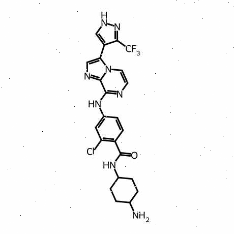 NC1CCC(NC(=O)c2ccc(Nc3nccn4c(-c5c[nH]nc5C(F)(F)F)cnc34)cc2Cl)CC1